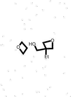 C1COC1.CCC1(CO)COC1